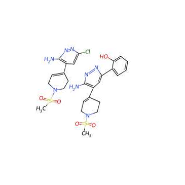 CS(=O)(=O)N1CC=C(c2cc(-c3ccccc3O)nnc2N)CC1.CS(=O)(=O)N1CC=C(c2cc(Cl)nnc2N)CC1